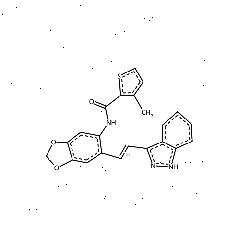 Cc1ccsc1C(=O)Nc1cc2c(cc1/C=C/c1n[nH]c3ccccc13)OCO2